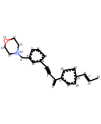 C=C(C#Cc1cccc(CN2CCOCC2)c1)c1ccc(/C=C/C)cc1